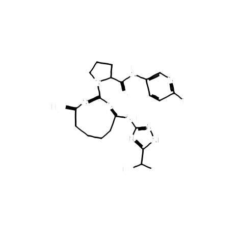 C=C1CCCC/C(Nc2n[nH]c(C(C)C)n2)=N\C(N2CCCC2C(=O)Nc2ccc(F)nc2)=N/1